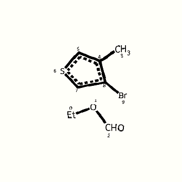 CCOC=O.Cc1cscc1Br